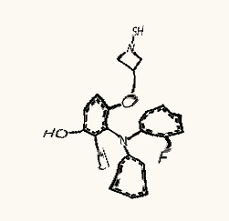 Oc1ccc(OC2CN(S)C2)c(N(c2ccccc2)c2ccccc2F)c1Cl